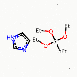 CCC[Si](OCC)(OCC)OCC.c1c[nH]cn1